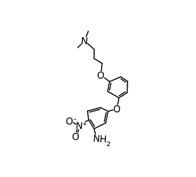 CN(C)CCCOc1cccc(Oc2ccc([N+](=O)[O-])c(N)c2)c1